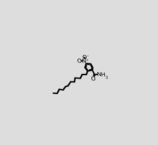 CCCCCCCCCCCCc1cc([N+](=O)[O-])ccc1C(N)=O